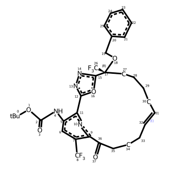 CC(C)(C)OC(=O)Nc1cc(C(F)(F)F)c2nc1-c1nnc(o1)[C@@](OCc1ccccc1)(C(F)(F)F)CCCC/C=C/CCCC2=O